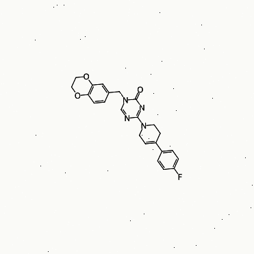 O=c1nc(N2CC=C(c3ccc(F)cc3)CC2)ncn1Cc1ccc2c(c1)OCCO2